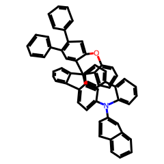 c1ccc(-c2cc3c(cc2-c2ccccc2)C2(c4ccccc4O3)c3ccccc3-c3ccc(N(c4ccc5ccccc5c4)c4ccccc4-c4ccccc4)cc32)cc1